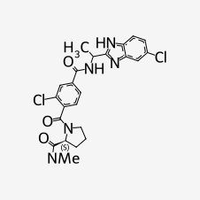 CNC(=O)[C@@H]1CCCN1C(=O)c1ccc(C(=O)NC(C)c2nc3cc(Cl)ccc3[nH]2)cc1Cl